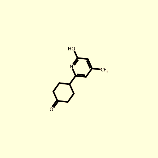 O=C1CCC(c2cc(C(F)(F)F)cc(O)n2)CC1